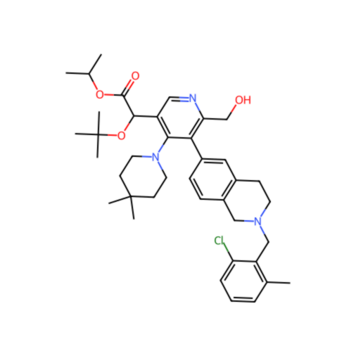 Cc1cccc(Cl)c1CN1CCc2cc(-c3c(CO)ncc(C(OC(C)(C)C)C(=O)OC(C)C)c3N3CCC(C)(C)CC3)ccc2C1